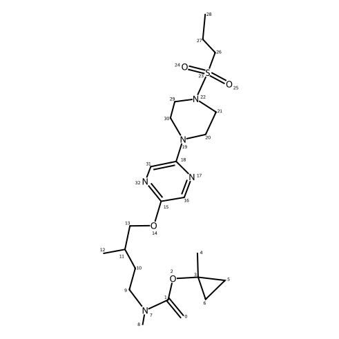 C=C(OC1(C)CC1)N(C)CCC(C)COc1cnc(N2CCN(S(=O)(=O)CCC)CC2)cn1